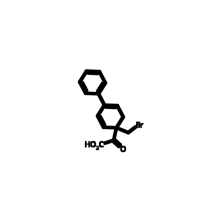 O=C(O)C(=O)C1(CBr)C=CC(c2ccccc2)=CC1